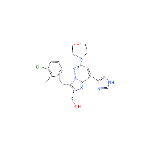 Cc1c(Cl)cccc1Cc1c(CO)nc2c(-c3c[nH]cn3)cc(N3CCOCC3)nn12